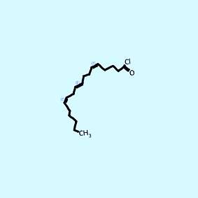 CCCCC/C=C\C/C=C/CC/C=C\CCCC(=O)Cl